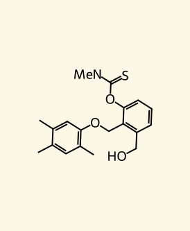 CNC(=S)Oc1cccc(CO)c1COc1cc(C)c(C)cc1C